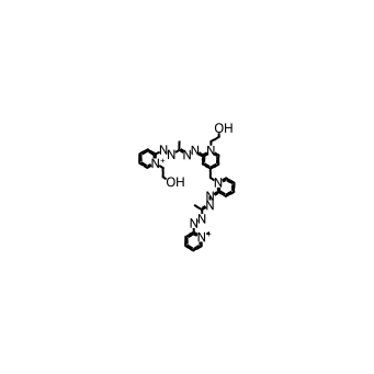 CC(/N=N/c1cccc[n+]1C)=N\N=c1/ccccn1Cc1ccn(CCO)/c(=N/N=C(C)/N=N/c2cccc[n+]2CCO)c1